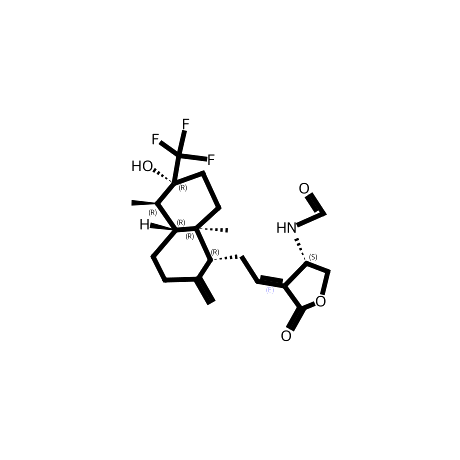 C=C1CC[C@@H]2[C@@H](C)[C@@](O)(C(F)(F)F)CC[C@@]2(C)[C@@H]1C/C=C1/C(=O)OC[C@H]1NC=O